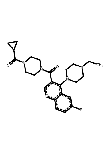 CCN1CCN(c2c(C(=O)N3CCN(C(=O)C4CC4)CC3)cnc3ccc(F)cc23)CC1